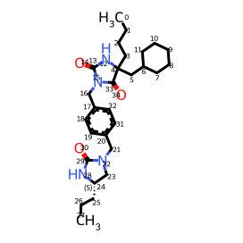 CCCCC1(CC2CCCCC2)NC(=O)N(Cc2ccc(CN3C[C@H](CCC)NC3=O)cc2)C1=O